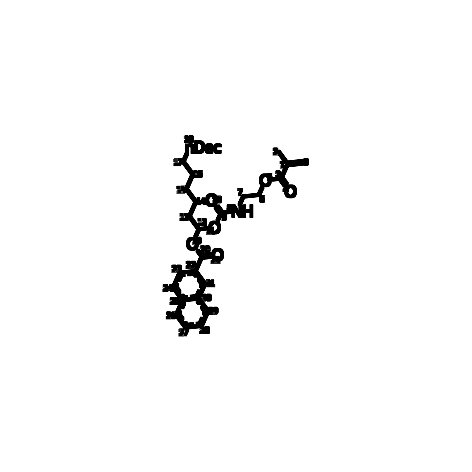 C=C(C)C(=O)OCCNC(=O)OC(CCCCCCCCCCCCCCC)OC(=O)c1ccc2ccccc2c1